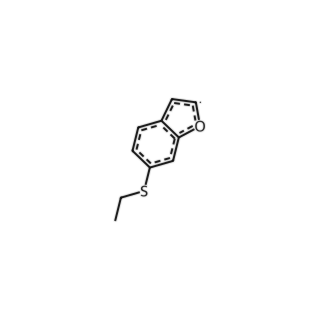 CCSc1ccc2c[c]oc2c1